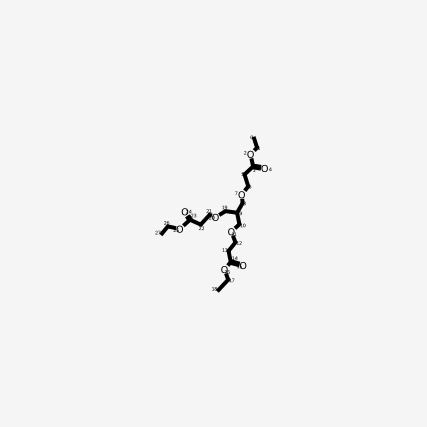 CCOC(=O)CCOCC(COCCC(=O)OCC)COCCC(=O)OCC